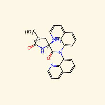 CCCC(=O)N[C@](N)(CCC(=O)O)C(=O)N(c1cccc2cccnc12)c1cccc2cccnc12